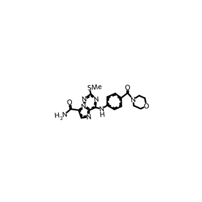 CSc1nc(Nc2ccc(C(=O)N3CCOCC3)cc2)c2ncc(C(N)=O)n2n1